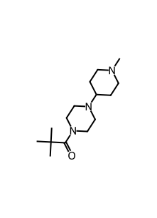 CN1CCC(N2CCN(C(=O)C(C)(C)C)CC2)CC1